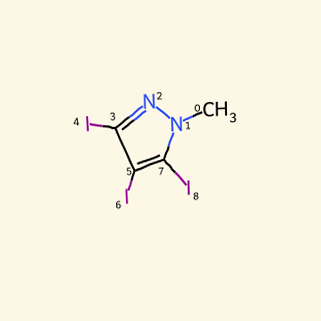 Cn1nc(I)c(I)c1I